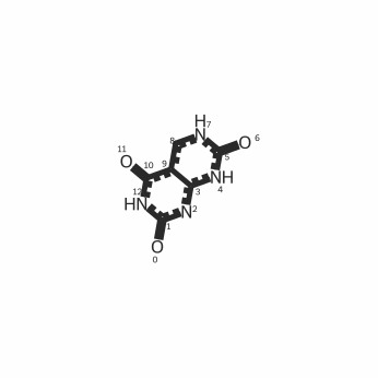 O=c1nc2[nH]c(=O)[nH]cc-2c(=O)[nH]1